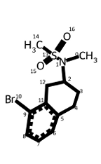 CN(C1CCc2cccc(Br)c2C1)S(C)(=O)=O